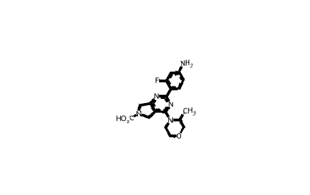 CC1COCCN1c1nc(-c2ccc(N)cc2F)nc2c1CN(C(=O)O)C2